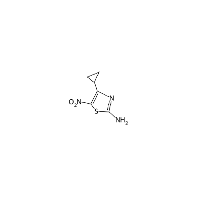 Nc1nc(C2CC2)c([N+](=O)[O-])s1